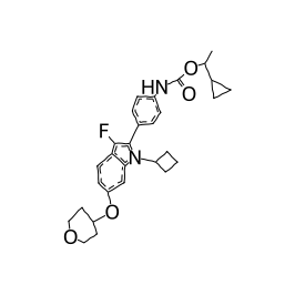 CC(OC(=O)Nc1ccc(-c2c(F)c3ccc(OC4CCOCC4)cc3n2C2CCC2)cc1)C1CC1